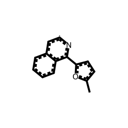 Cc1ccc(-c2n[c]cc3ccccc23)o1